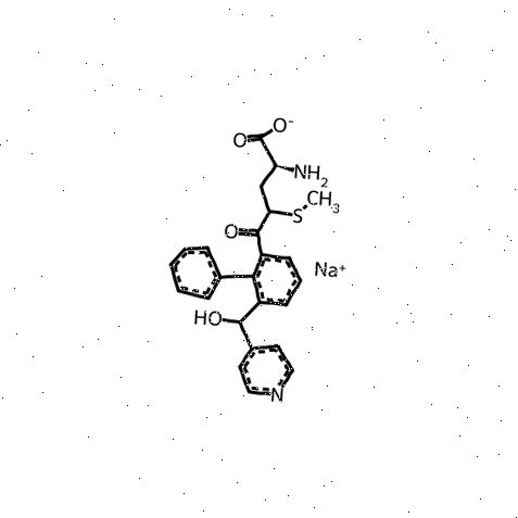 CSC(C[C@H](N)C(=O)[O-])C(=O)c1cccc(C(O)c2ccncc2)c1-c1ccccc1.[Na+]